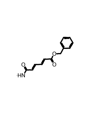 [NH]C(=O)C=CC=CC(=O)OCc1ccccc1